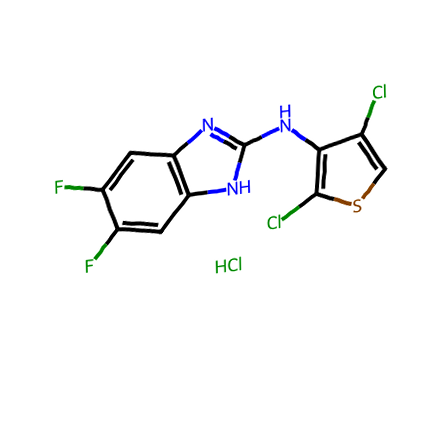 Cl.Fc1cc2nc(Nc3c(Cl)csc3Cl)[nH]c2cc1F